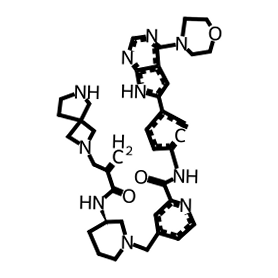 C=C(CN1CC2(CCNC2)C1)C(=O)N[C@@H]1CCCN(Cc2ccnc(C(=O)Nc3ccc(-c4cc5c(N6CCOCC6)ncnc5[nH]4)cc3)c2)C1